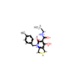 CC(C)(C)c1ccc(Cn2c3c(c(O)c(C(=O)NCC(=O)O)c2=O)CSC3)cc1